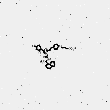 CC(NC(=O)Cn1cc(-c2ccc(Cl)cc2Cl)nc1C=Cc1ccc(OCCCC(=O)O)cc1)c1cccc2ccccc12